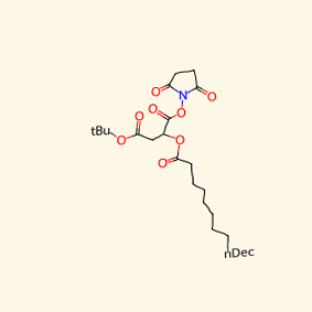 CCCCCCCCCCCCCCCCCC(=O)OC(CC(=O)OC(C)(C)C)C(=O)ON1C(=O)CCC1=O